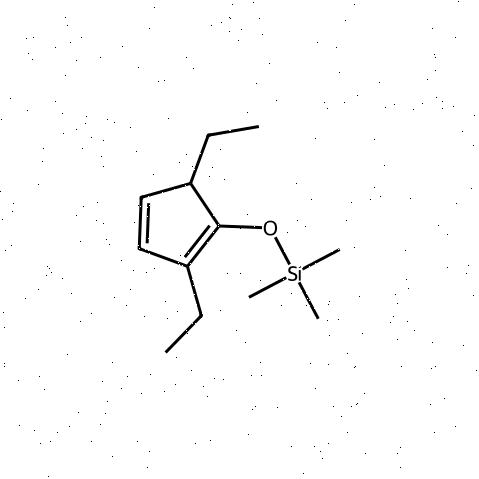 CCC1=C(O[Si](C)(C)C)C(CC)C=C1